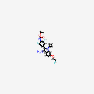 CC(C)OC(=O)Nc1c(F)cc(C2C(N)c3ccc(OCCF)cc3N2C2CCC2)cc1F